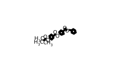 CC(C)(C)C(=O)Oc1ccc(C(=O)Oc2ccc(C(=O)OCc3ccccc3)cc2)cc1